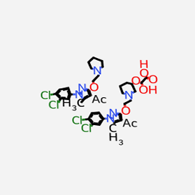 CC(=O)c1c(OCCN2CCCCC2)nn(-c2ccc(Cl)c(Cl)c2)c1C.CC(=O)c1c(OCCN2CCCCC2)nn(-c2ccc(Cl)c(Cl)c2)c1C.O=C(O)C(=O)O